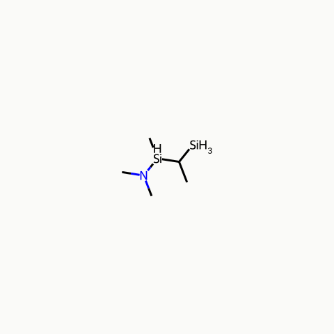 CC([SiH3])[SiH](C)N(C)C